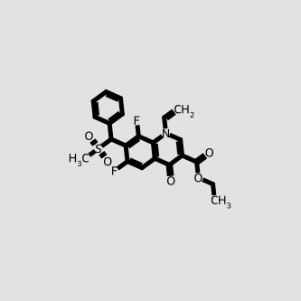 C=Cn1cc(C(=O)OCC)c(=O)c2cc(F)c(C(c3ccccc3)S(C)(=O)=O)c(F)c21